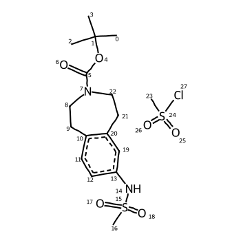 CC(C)(C)OC(=O)N1CCc2ccc(NS(C)(=O)=O)cc2CC1.CS(=O)(=O)Cl